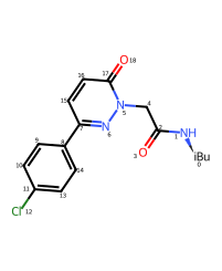 CC[C@H](C)NC(=O)Cn1nc(-c2ccc(Cl)cc2)ccc1=O